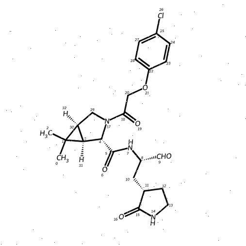 CC1(C)[C@@H]2[C@@H](C(=O)N[C@H](C=O)C[C@@H]3CCNC3=O)N(C(=O)COc3ccc(Cl)cc3)C[C@@H]21